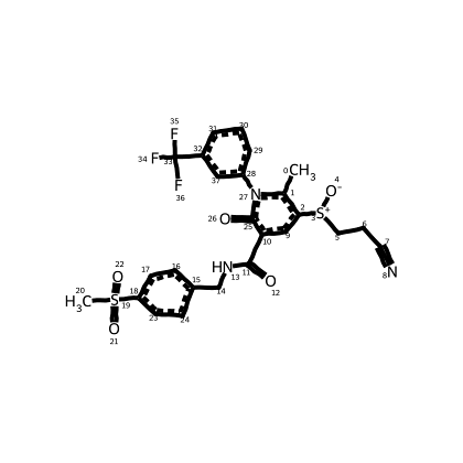 Cc1c([S+]([O-])CCC#N)cc(C(=O)NCc2ccc(S(C)(=O)=O)cc2)c(=O)n1-c1cccc(C(F)(F)F)c1